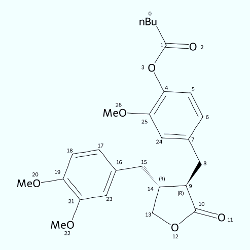 CCCCC(=O)Oc1ccc(C[C@H]2C(=O)OC[C@@H]2Cc2ccc(OC)c(OC)c2)cc1OC